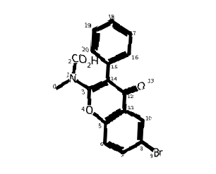 CN(C(=O)O)c1oc2ccc(Br)cc2c(=O)c1-c1ccccc1